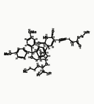 CCCSSC(=O)NCC#Cc1cn(C2CC(OP(OCCC#N)N(C(C)C)C(C)C)C(COC(c3ccccc3)(c3ccc(OC)cc3)c3ccc(OC)cc3)O2)c(=O)[nH]c1=O